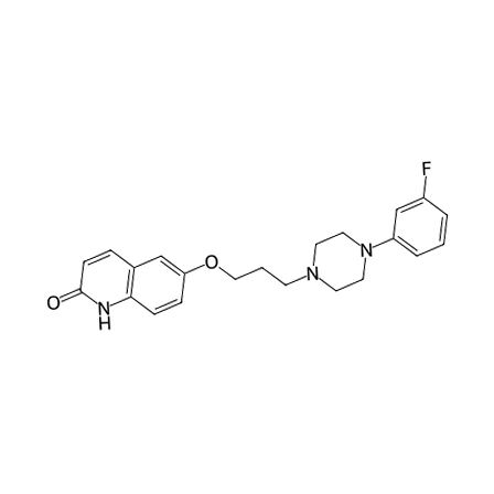 O=c1ccc2cc(OCCCN3CCN(c4cccc(F)c4)CC3)ccc2[nH]1